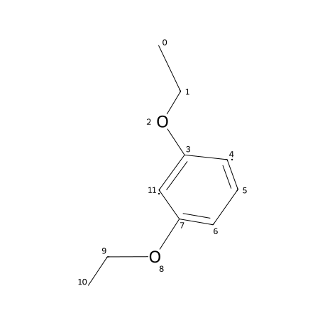 CCOc1[c]ccc(OCC)[c]1